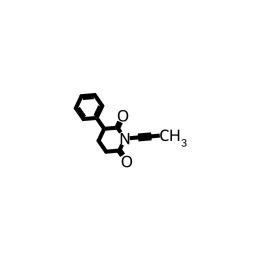 CC#CN1C(=O)CCC(c2ccccc2)C1=O